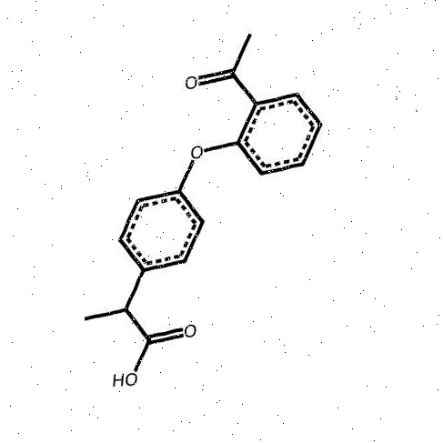 CC(=O)c1ccccc1Oc1ccc(C(C)C(=O)O)cc1